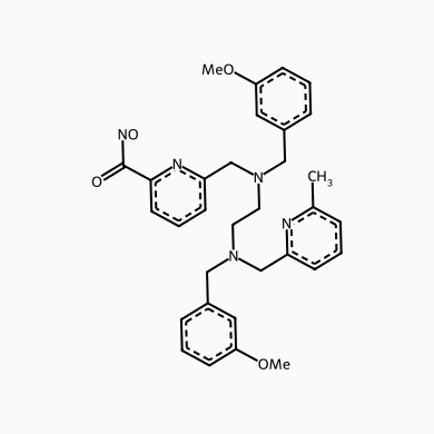 COc1cccc(CN(CCN(Cc2cccc(OC)c2)Cc2cccc(C(=O)N=O)n2)Cc2cccc(C)n2)c1